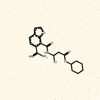 CCC(CC(=O)OC1CCCCC1)NC(=O)c1c(C(=N)N)ccc2ccoc12